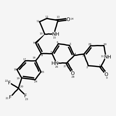 O=C1CC(c2ccc(/C(=C\[C@H]3CCC(=O)N3)c3ccc(C(F)(F)F)cc3)[nH]c2=O)=CCN1